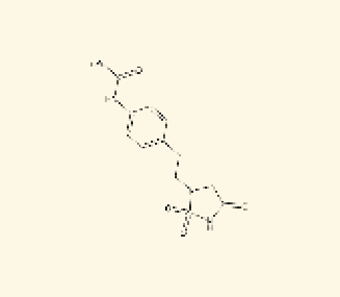 CCCC(=O)Nc1ccc(CCN2CC(=O)NS2(=O)=O)cc1